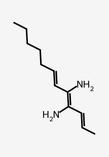 CC=CC(N)=C(N)C=CCCCCC